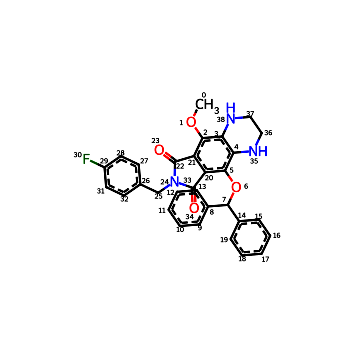 COc1c2c(c(OC(c3ccccc3)c3ccccc3)c3c1C(=O)N(Cc1ccc(F)cc1)C3=O)NCCN2